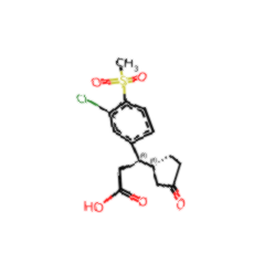 CS(=O)(=O)c1ccc([C@H](CC(=O)O)[C@@H]2CCC(=O)C2)cc1Cl